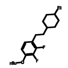 CCCCOc1ccc(CCC2CCC(CC)CC2)c(F)c1F